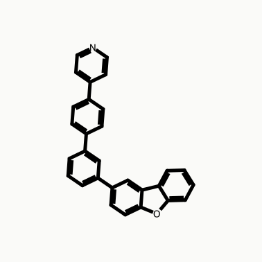 c1cc(-c2ccc(-c3ccncc3)cc2)cc(-c2ccc3oc4ccccc4c3c2)c1